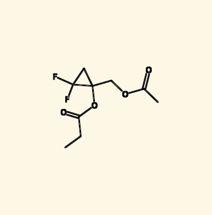 CCC(=O)OC1(COC(C)=O)CC1(F)F